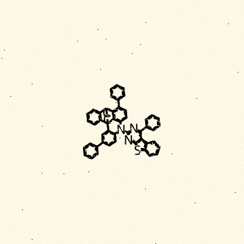 c1ccc(-c2ccc3c(c2)C24CCC(c5ccccc52)c2c(-c5ccccc5)ccc(c24)N3c2nc(-c3ccccc3)c3c(n2)sc2ccccc23)cc1